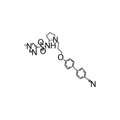 Cn1cnc(S(=O)(=O)NC2CCCN2CCCOc2ccc(-c3ccc(C#N)cc3)cc2)c1